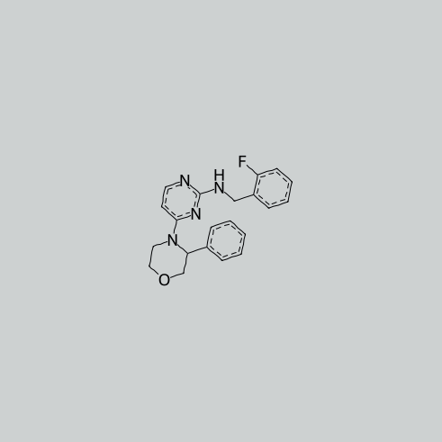 Fc1ccccc1CNc1nccc(N2CCOCC2c2ccccc2)n1